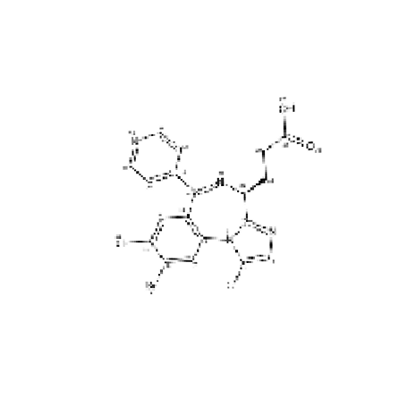 Cc1cnc2n1-c1cc(Br)c(Cl)cc1C(c1ccncc1)=N[C@H]2CCC(=O)O